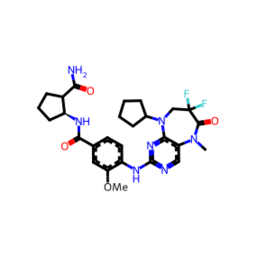 COc1cc(C(=O)N[C@H]2CCCC2C(N)=O)ccc1Nc1ncc2c(n1)N(C1CCCC1)CC(F)(F)C(=O)N2C